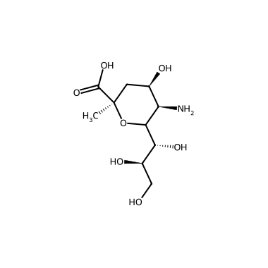 C[C@]1(C(=O)O)C[C@@H](O)[C@@H](N)C([C@H](O)[C@H](O)CO)O1